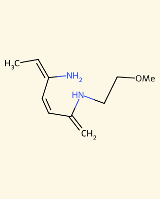 C=C(/C=C\C(N)=C/C)NCCOC